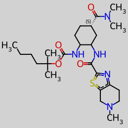 CCCCC(C)(C)OC(=O)NC1CC[C@H](C(=O)N(C)C)CC1NC(=O)c1nc2c(s1)CN(C)CC2